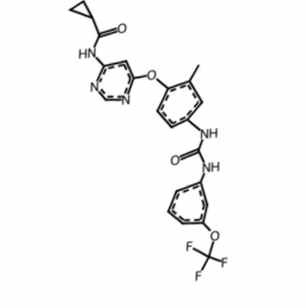 Cc1cc(NC(=O)Nc2cccc(OC(F)(F)F)c2)ccc1Oc1cc(NC(=O)C2CC2)ncn1